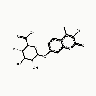 [2H]c1c(C)c2ccc(OC3O[C@H](C(=O)O)[C@@H](O)[C@H](O)[C@H]3O)cc2oc1=O